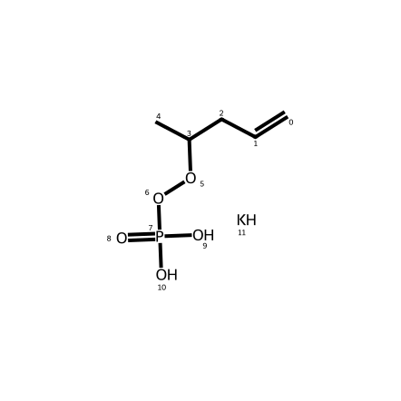 C=CCC(C)OOP(=O)(O)O.[KH]